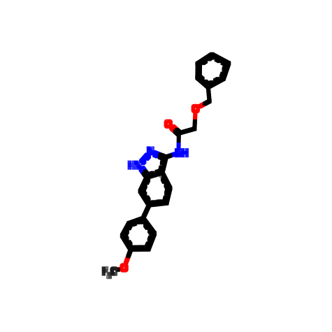 O=C(COCc1ccccc1)Nc1n[nH]c2cc(-c3ccc(OC(F)(F)F)cc3)ccc12